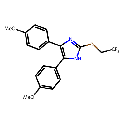 COc1ccc(-c2nc(SCC(F)(F)F)[nH]c2-c2ccc(OC)cc2)cc1